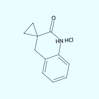 Cl.O=C1Nc2ccccc2CC12CC2